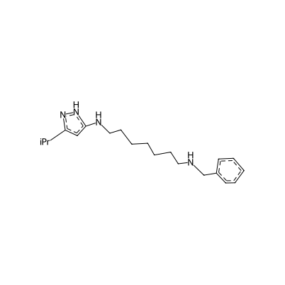 CC(C)c1cc(NCCCCCCCNCc2ccccc2)[nH]n1